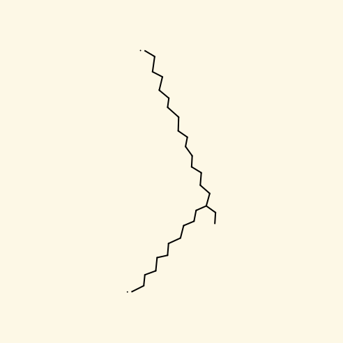 [CH2]CCCCCCCCCCCCCCCC(CC)CCCCCCCCCC[CH2]